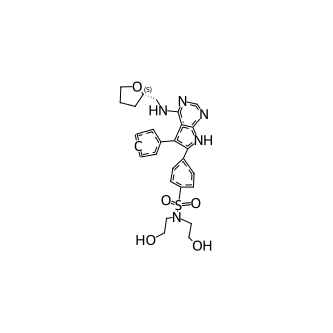 O=S(=O)(c1ccc(-c2[nH]c3ncnc(NC[C@@H]4CCCO4)c3c2-c2ccccc2)cc1)N(CCO)CCO